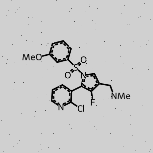 CNCc1cn(S(=O)(=O)c2cccc(OC)c2)c(-c2cccnc2Cl)c1F